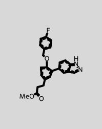 COC(=O)CCc1ccc(OCc2ccc(F)cc2)c(-c2ccc3[nH]ncc3c2)c1